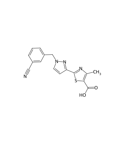 Cc1nc(-c2ccn(Cc3cccc(C#N)c3)n2)sc1C(=O)O